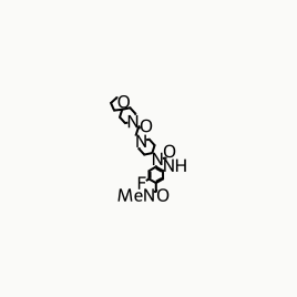 CNC(=O)c1cc2[nH]c(=O)n(C3CCN(CC(=O)N4CCC5(CCCO5)CC4)CC3)c2cc1F